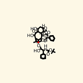 CC(=O)O[C@@]12CO[C@@H]1C[C@H](O)[C@@]1(C)C(=O)[C@H](O)C3=C(C)[C@@H](OC[C@H](O)[C@@H](NC(=O)OC(C)(C)C)c4ccccc4)C[C@@](O)([C@@H](OC(=O)c4ccccc4)[C@H]21)C3(C)C